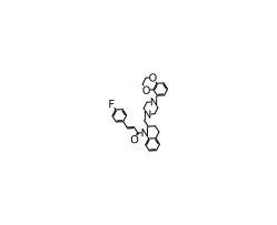 O=C(C=Cc1ccc(F)cc1)N1c2ccccc2CCC1CN1CCN(c2cccc3c2OCCO3)CC1